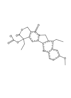 CCc1c2c(nc3ccc(OC)cc13)-c1cc3c(c(=O)n1C2)COC(=O)C3(CC)OC(=O)Cl